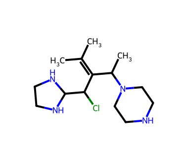 CC(C)=C(C(Cl)C1NCCN1)C(C)N1CCNCC1